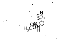 CSC(CC#N)c1cccc(NC(=O)OC(C)C)c1